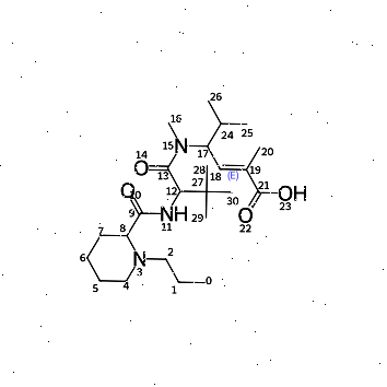 CCCN1CCCCC1C(=O)NC(C(=O)N(C)C(/C=C(\C)C(=O)O)C(C)C)C(C)(C)C